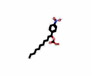 CCCCCCCCCCC(OC(=O)O)c1ccc([N+](=O)[O-])cc1